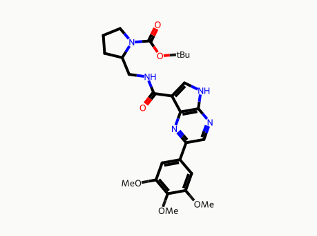 COc1cc(-c2cnc3[nH]cc(C(=O)NCC4CCCN4C(=O)OC(C)(C)C)c3n2)cc(OC)c1OC